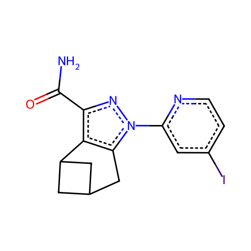 NC(=O)c1nn(-c2cc(I)ccn2)c2c1C1CC(C2)C1